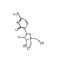 Nc1ccn(C2OC(CO)(CCl)C(O)C2F)c(=O)n1